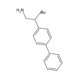 CCC(C)C(CN)c1ccc(-c2ccccc2)cc1